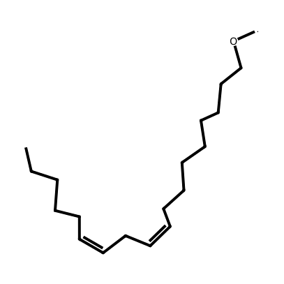 [CH2]OCCCCCCCC/C=C\C/C=C\CCCCC